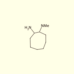 CNC1CCCCCCC1N